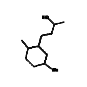 CC(O)CCC1CC(C(C)(C)C)CCC1C